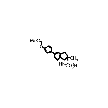 COCOc1ccc(-c2ccc3c(c2)CCC(C)(C)[C@@H]3NC(=O)O)cc1